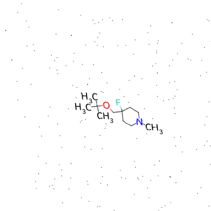 CN1CCC(F)(COC(C)(C)C)CC1